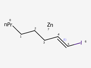 CCCCCC/C=C/I.[Zn]